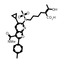 CNC(=O)c1c(-c2ccc(C)cc2)oc2nc(N(CCCC/C(C(=O)O)=C(\C)O)S(C)(=O)=O)c(C3CC3)cc12